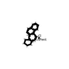 CCCCCCl.c1ccc2c(c1)ccc1c3c(ccc12)CCCC3